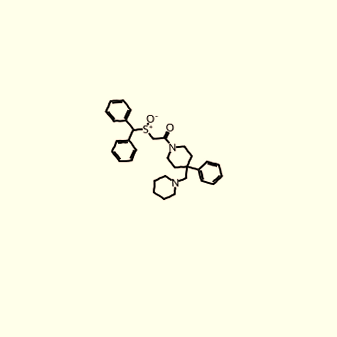 O=C(C[S+]([O-])C(c1ccccc1)c1ccccc1)N1CCC(CN2CCCCC2)(c2ccccc2)CC1